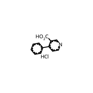 Cl.O=C(O)c1cnccc1-c1ccccc1